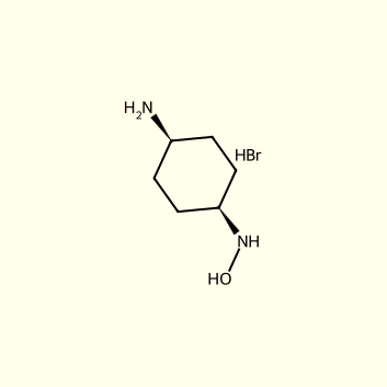 Br.N[C@H]1CC[C@@H](NO)CC1